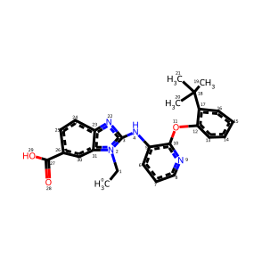 CCn1c(Nc2cccnc2Oc2ccccc2C(C)(C)C)nc2ccc(C(=O)O)cc21